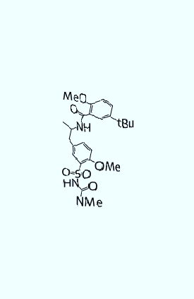 CNC(=O)NS(=O)(=O)c1cc(CC(C)NC(=O)c2cc(C(C)(C)C)ccc2OC)ccc1OC